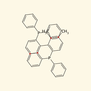 Cc1ccc(P(c2ccccc2)c2ccccc2)c(-c2ccccc2P(c2ccccc2)c2ccccc2)c1C